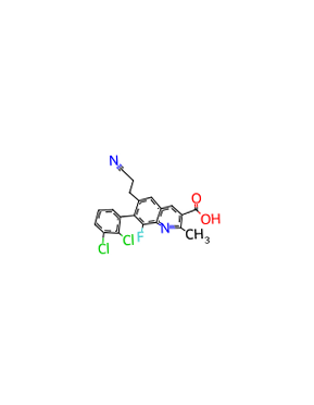 Cc1nc2c(F)c(-c3cccc(Cl)c3Cl)c(CCC#N)cc2cc1C(=O)O